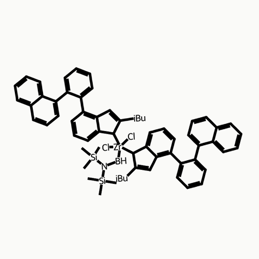 CCC(C)C1=Cc2c(-c3ccccc3-c3cccc4ccccc34)cccc2[CH]1[Zr]([Cl])([Cl])([BH]N([Si](C)(C)C)[Si](C)(C)C)[CH]1C(C(C)CC)=Cc2c(-c3ccccc3-c3cccc4ccccc34)cccc21